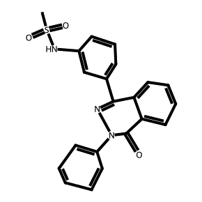 CS(=O)(=O)Nc1cccc(-c2nn(-c3ccccc3)c(=O)c3ccccc23)c1